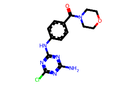 Nc1nc(Cl)nc(Nc2ccc(C(=O)N3CCOCC3)cc2)n1